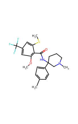 COc1cc(C(F)(F)F)cc(SC)c1C(=O)NC1(c2ccc(C)cc2)CCCN(C)C1